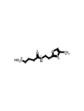 Cc1csc(CCNC(=O)CCCC(=O)O)n1